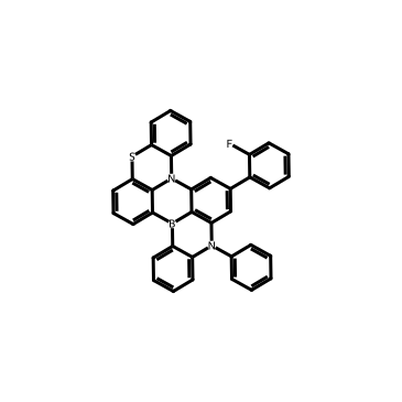 Fc1ccccc1-c1cc2c3c(c1)N1c4ccccc4Sc4cccc(c41)B3c1ccccc1N2c1ccccc1